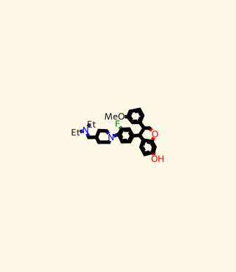 CCN(CC)CC1CCN(c2ccc(C3c4ccc(O)cc4OCC3c3cccc(OC)c3)cc2F)CC1